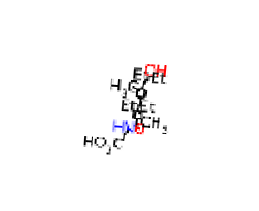 CCC(O)(C=Cc1ccc(C(CC)(CC)c2ccc(C(=O)NCCCC(=O)O)c(C)c2)cc1C)CC